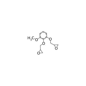 COc1cccc(OCC2CO2)c1OCC1CO1